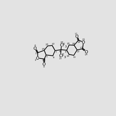 O=C1OC(=O)C2CC(C(C3CCC4C(=O)OC(=O)C4C3)(C(F)(F)F)C(F)(F)F)CCC12